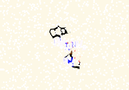 C[C@H]1Cc2cc3c(c(NC(=O)N=S(N)(=O)c4cnn5c4OCCC5)c21)CCC3